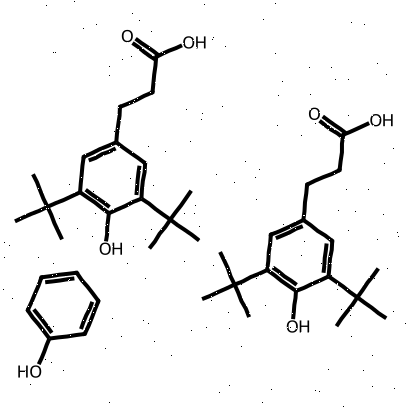 CC(C)(C)c1cc(CCC(=O)O)cc(C(C)(C)C)c1O.CC(C)(C)c1cc(CCC(=O)O)cc(C(C)(C)C)c1O.Oc1ccccc1